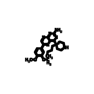 CCCC[N+]1(c2nc(N)nc3ncc(-c4ccc(OC)c(OC)c4)nc23)CCNCC1